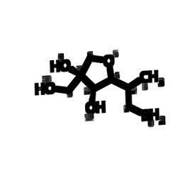 BCC(C)C1OC[C@@](O)(CO)[C@@H]1O